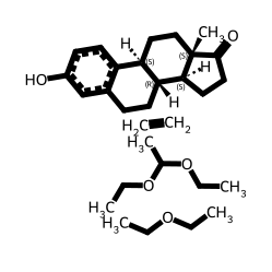 C=C.CCOC(C)OCC.CCOCC.C[C@]12CC[C@@H]3c4ccc(O)cc4CC[C@H]3[C@@H]1CCC2=O